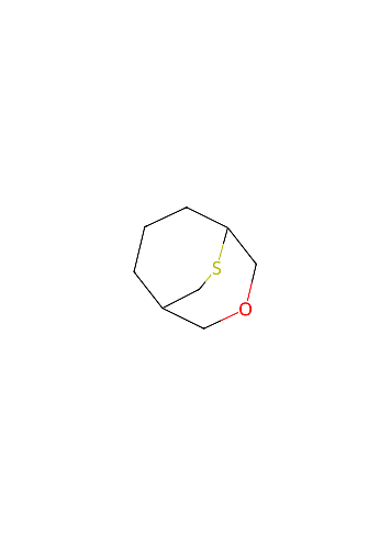 C1CC2COCC(C1)SC2